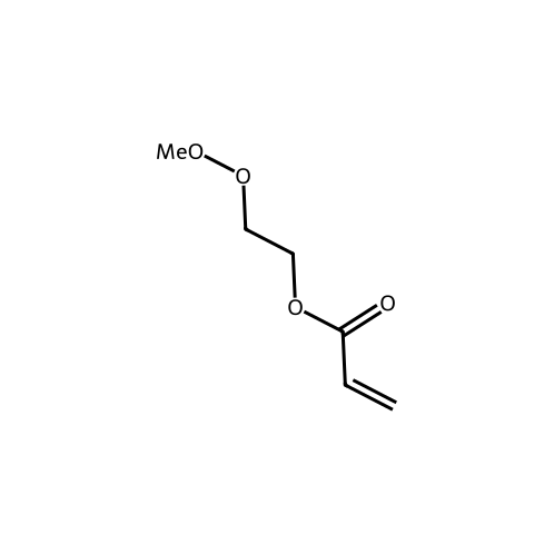 C=CC(=O)OCCOOC